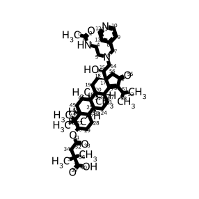 CC(=O)NCCN(Cc1ccncc1)C[C@H](O)[C@@]12CC[C@]3(C)[C@H](CC[C@@H]4[C@@]5(C)CCC(OC(=O)CC(C)(C)C(=O)O)C(C)(C)[C@@H]5CC[C@]43C)C1=C(C(C)C)C(=O)C2